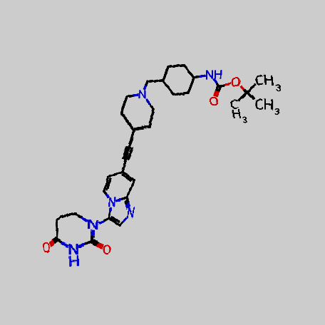 CC(C)(C)OC(=O)NC1CCC(CN2CCC(C#Cc3ccn4c(N5CCC(=O)NC5=O)cnc4c3)CC2)CC1